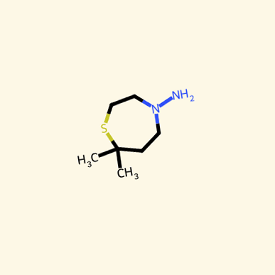 CC1(C)CCN(N)CCS1